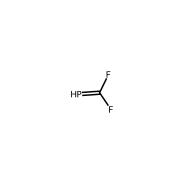 FC(F)=P